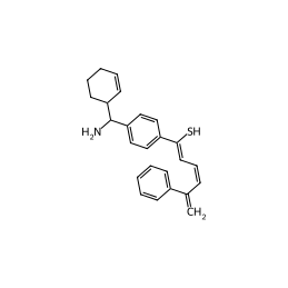 C=C(/C=C\C=C(/S)c1ccc(C(N)C2C=CCCC2)cc1)c1ccccc1